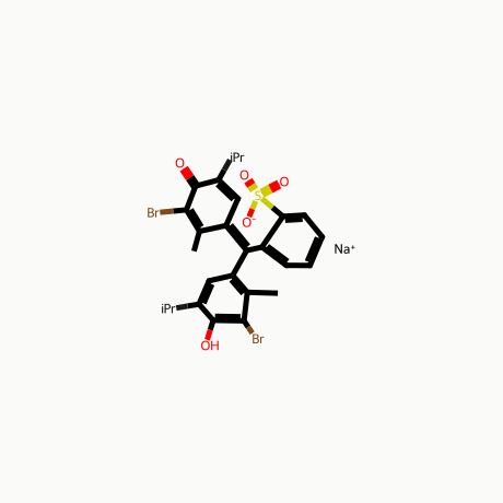 CC1=C(Br)C(=O)C(C(C)C)=CC1=C(c1ccccc1S(=O)(=O)[O-])c1cc(C(C)C)c(O)c(Br)c1C.[Na+]